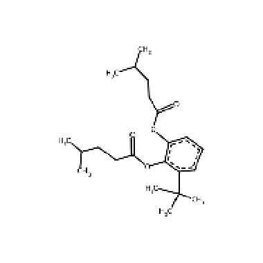 CC(C)CCC(=O)Oc1cccc(C(C)(C)C)c1OC(=O)CCC(C)C